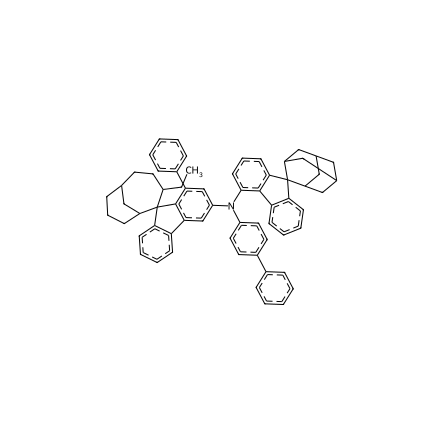 CCC1CCC2CCCC(C2)C12c1ccccc1-c1cc(N(c3ccc(-c4ccccc4)cc3)c3cccc4c3-c3ccccc3C43C4CC5CC(C4)CC3C5)cc(-c3ccccc3)c12